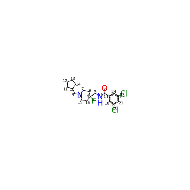 O=C(NCC1(F)CCN(CC2CCCC2)CC1)c1cc(Cl)cc(Cl)c1